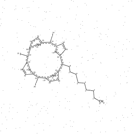 CCCCCCCCCc1c2nc(c(I)c3ccc([nH]3)c(I)c3nc(c(I)c4ccc1[nH]4)C=C3)C=C2